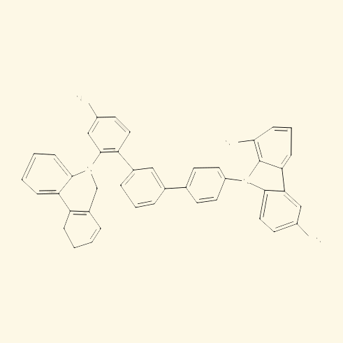 N#Cc1ccc(-c2cccc(-c3ccc(-n4c5ccc(C#N)cc5c5cccc(C#N)c54)cc3)c2)c(N2CC3=C(CCC=C3)c3ccccc32)c1